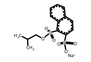 CC(C)COS(=O)(=O)c1c(S(=O)(=O)[O-])ccc2ccccc12.[Na+]